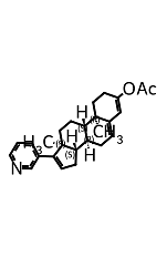 CC(=O)OC1=CC2=CC[C@@H]3[C@H](CC[C@]4(C)C(c5cccnc5)=CC[C@@H]34)[C@@]2(C)CC1